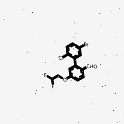 O=Cc1ccc(OCC(F)F)cc1-c1cc(Br)ccc1Cl